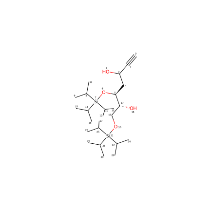 C#CC(O)C[C@H](O[Si](C(C)C)(C(C)C)C(C)C)[C@H](O)CO[Si](C(C)C)(C(C)C)C(C)C